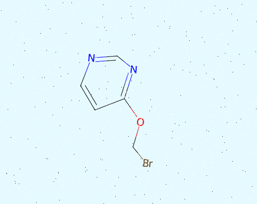 BrCOc1ccncn1